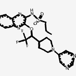 CCCS(=O)(=O)Nc1nc2ccccc2nc1OC(C1CCN(c2cncnc2)CC1)C(F)(F)F